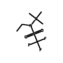 CCN([Si](C)(C)C)S(=O)(=O)C(F)(F)F